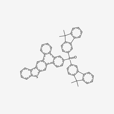 CC1(C)c2ccccc2-c2cc(P(=O)(c3ccc4c(c3)-c3ccccc3C4(C)C)c3ccc4c(c3)c3ccccc3c3cc5c(cc43)sc3ccccc35)ccc21